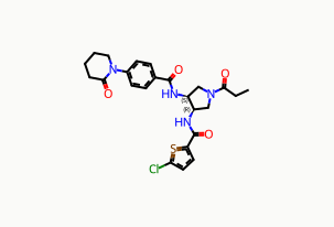 CCC(=O)N1C[C@H](NC(=O)c2ccc(N3CCCCC3=O)cc2)[C@H](NC(=O)c2ccc(Cl)s2)C1